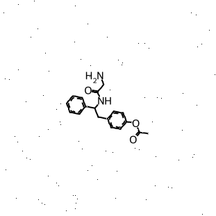 CC(=O)Oc1ccc(CC(NC(=O)CN)c2ccccc2)cc1